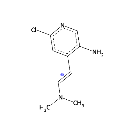 CN(C)/C=C/c1cc(Cl)ncc1N